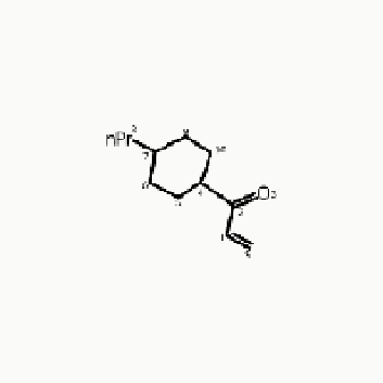 C=CC(=O)C1CCC(CCC)CC1